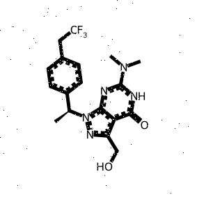 C[C@@H](c1ccc(CC(F)(F)F)cc1)n1nc(CO)c2c(=O)[nH]c(N(C)C)nc21